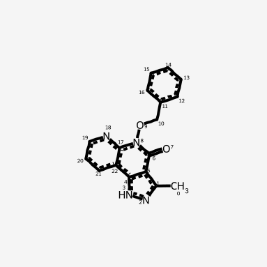 Cc1n[nH]c2c1c(=O)n(OCc1ccccc1)c1ncccc21